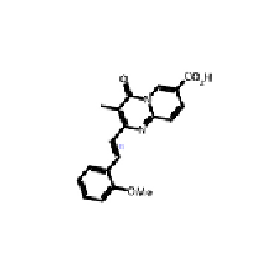 COc1ccccc1/C=C/c1nc2ccc(C(=O)O)cn2c(=O)c1C